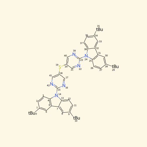 CC(C)(C)c1ccc2c(c1)c1cc(C(C)(C)C)ccc1n2-c1ncc(Sc2cnc(-n3c4ccc(C(C)(C)C)cc4c4cc(C(C)(C)C)ccc43)nc2)cn1